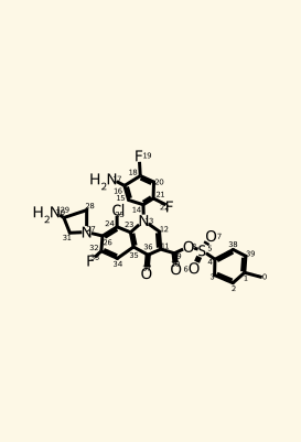 Cc1ccc(S(=O)(=O)OC(=O)c2cn(-c3cc(N)c(F)cc3F)c3c(Cl)c(N4CC(N)C4)c(F)cc3c2=O)cc1